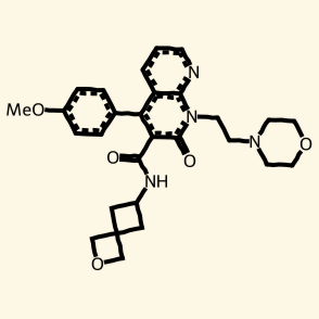 COc1ccc(-c2c(C(=O)NC3CC4(COC4)C3)c(=O)n(CCN3CCOCC3)c3ncccc23)cc1